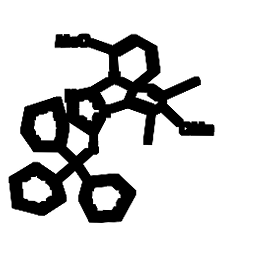 COC1=CC=CC23C=C(C)C(OC)C(C)=C2n2c(SC(c4ccccc4)(c4ccccc4)c4ccccc4)cnc2N13